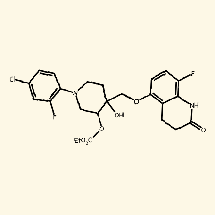 CCOC(=O)OC1CN(c2ccc(Cl)cc2F)CCC1(O)COc1ccc(F)c2c1CCC(=O)N2